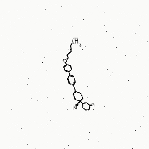 CCCCCOc1ccc(-c2ccc(C3CCC(C#N)(C4CCCC(=O)C4)CC3)cc2)cc1